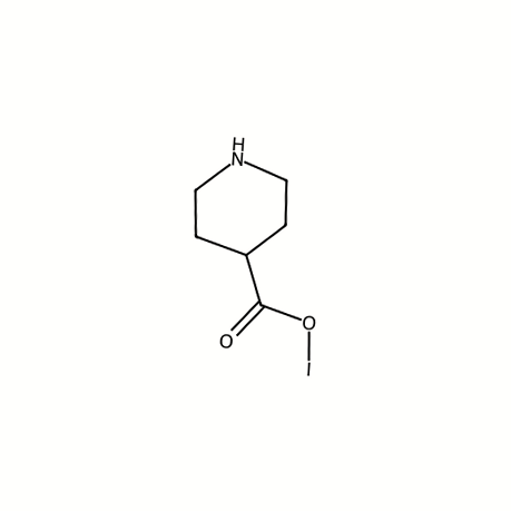 O=C(OI)C1CCNCC1